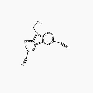 C#Cc1ccc2c(c1)c1cc(C#C)ccc1n2CC